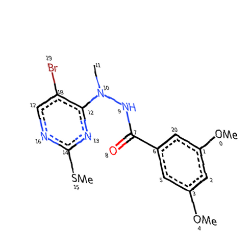 COc1cc(OC)cc(C(=O)NN(C)c2nc(SC)ncc2Br)c1